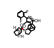 O=C(O)c1ccc2c(c1)N(C(=O)N1[C@@H]3CC[C@H]1CC(OCc1c(-c4c(F)cccc4F)noc1C1CC1)C3)CC2